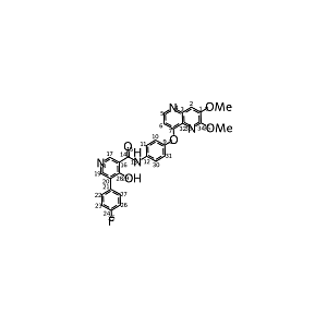 COc1cc2nccc(Oc3ccc(NC(=O)c4cncc(-c5ccc(F)cc5)c4O)cc3)c2nc1OC